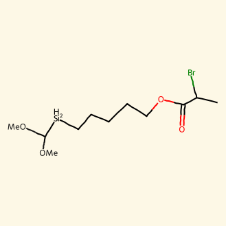 COC(OC)[SiH2]CCCCCOC(=O)C(C)Br